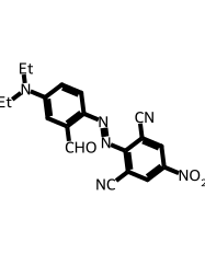 CCN(CC)c1ccc(N=Nc2c(C#N)cc([N+](=O)[O-])cc2C#N)c(C=O)c1